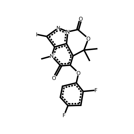 Cn1c(=O)c(Oc2ccc(F)cc2F)c2c3c1c(I)nn3C(=O)OC2(C)C